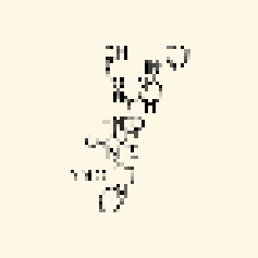 C#CCON=C(C(=O)NC1C(=O)N2C(C(=O)[O-])=C(C[n+]3ccccc3)CS[C@@H]12)c1nccc(Nc2ccccc2)n1